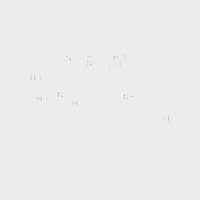 Cc1cnc(N[C@H]2CC[C@@H](NCc3ccc(F)c(Cl)c3)CC2)cc1N(C)C.Cl.Cl